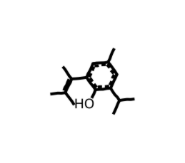 CC(C)=C(C)c1cc(C)cc(C(C)C)c1O